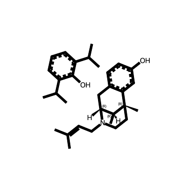 CC(C)=CCN1CC[C@@]2(C)c3cc(O)ccc3C[C@@H]1[C@@H]2C.CC(C)c1cccc(C(C)C)c1O